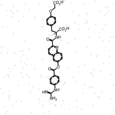 N=C(N)Nc1ccc(C(=O)Oc2ccc3nc(C(=O)N[C@@H](Cc4ccc(OCC(=O)O)cc4)C(=O)O)ccc3c2)cc1